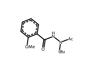 COc1ccccc1C(=O)NN(C(C)=O)C(C)(C)C